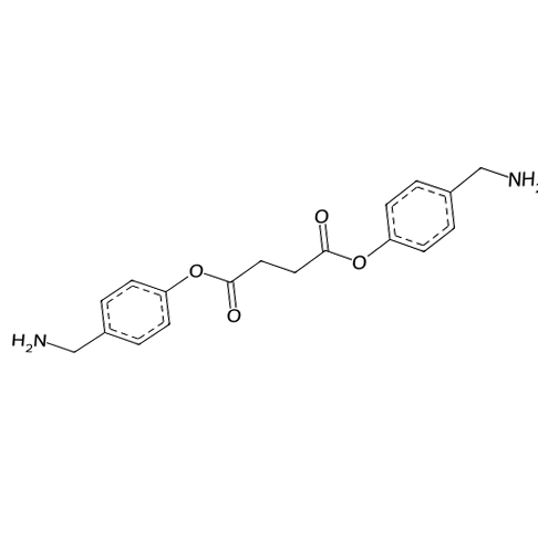 NCc1ccc(OC(=O)CCC(=O)Oc2ccc(CN)cc2)cc1